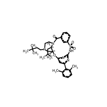 Cc1cccc(C)c1-c1cc2nc(n1)NS(=O)(=O)c1cccc(c1)C(=O)N1CCN(CCC(C)(C)C)C[C@@H](O2)[C@H]1CC(C)C